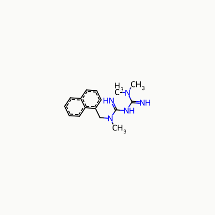 CN(C)C(=N)NC(=N)N(C)Cc1cccc2ccccc12